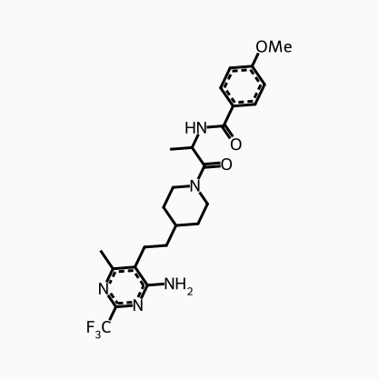 COc1ccc(C(=O)NC(C)C(=O)N2CCC(CCc3c(C)nc(C(F)(F)F)nc3N)CC2)cc1